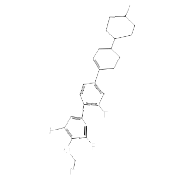 CC1CCC(C2CC=C(c3ccc(-c4cc(F)c(OCF)c(F)c4)c(F)c3)CC2)CC1